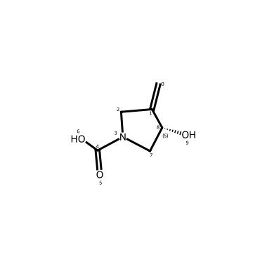 C=C1CN(C(=O)O)C[C@H]1O